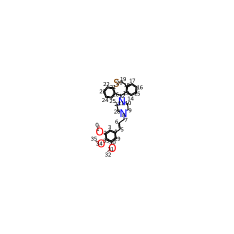 COc1cc(/C=C/CN2CCN(C3c4ccccc4CSc4ccccc43)CC2)cc(OC)c1OC